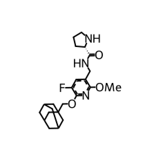 COc1nc(OCC23CC4CC(CC(C4)C2)C3)c(F)cc1CNC(=O)[C@@H]1CCCN1